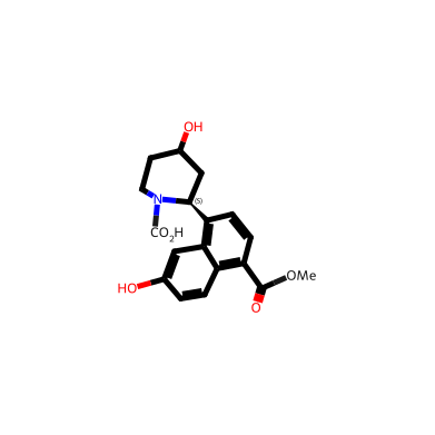 COC(=O)c1ccc([C@@H]2CC(O)CCN2C(=O)O)c2cc(O)ccc12